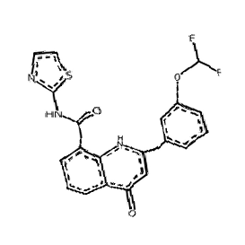 O=C(Nc1nccs1)c1cccc2c(=O)cc(-c3cccc(OC(F)F)c3)[nH]c12